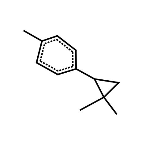 Cc1ccc(C2CC2(C)C)cc1